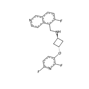 Fc1ccc(O[C@H]2C[C@H](NCc3c(F)ccc4cnccc34)C2)c(F)n1